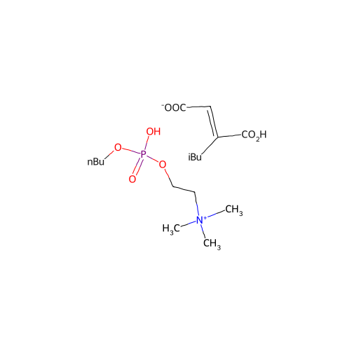 CCC(C)/C(=C\C(=O)[O-])C(=O)O.CCCCOP(=O)(O)OCC[N+](C)(C)C